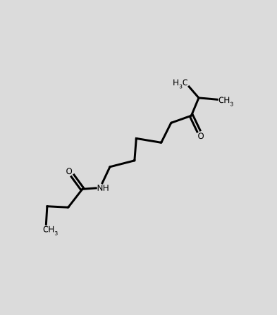 CCCC(=O)NCCCCCC(=O)C(C)C